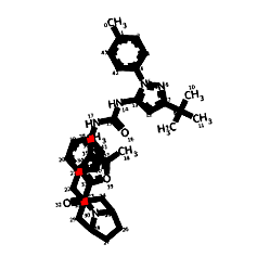 Cc1ccc(-n2nc(C(C)(C)C)cc2NC(=O)Nc2ccc(CC3CC4CCC(C3)N4C(=O)c3cc(C)c(C)o3)cc2)cc1